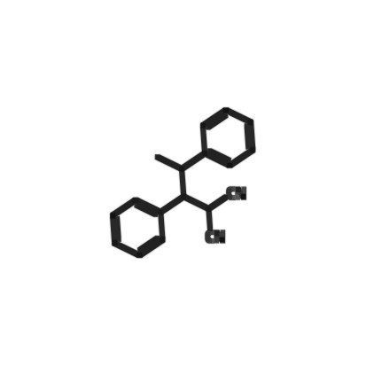 CC(c1ccccc1)C(c1ccccc1)C(C#N)C#N